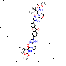 COC(=O)N[C@H](C(=O)N1CCC[C@H]1c1ncc(-c2ccc3c(=O)c4cc(-c5cnc([C@@H]6COCCN6C(=O)[C@@H](NC(=O)OC)C(C)C)[nH]5)ccc4oc3c2)[nH]1)C(C)C